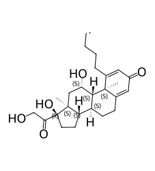 [CH2]CCCC1=CC(=O)C=C2CC[C@@H]3[C@H]([C@@H](O)C[C@@]4(C)[C@H]3CC[C@]4(O)C(=O)CO)[C@@]12C